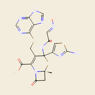 Nc1nc(C2(NC(=O)/C=N/O)S[C@@H]3CC(=O)N3C(C(=O)O)=C2CSc2ncnc3[nH]cnc23)cs1